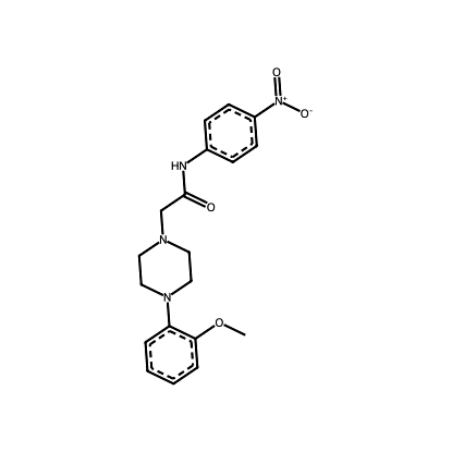 COc1ccccc1N1CCN(CC(=O)Nc2ccc([N+](=O)[O-])cc2)CC1